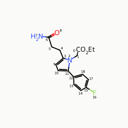 CCOC(=O)Cn1c(CCC(N)=O)ccc1-c1ccc(F)cc1